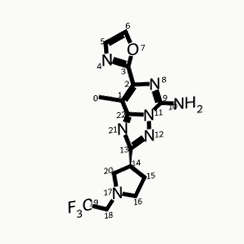 Cc1c(-c2ncco2)nc(N)n2nc([C@H]3CCN(CC(F)(F)F)C3)nc12